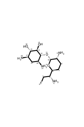 N[C@@H]1CC[C@@H]([C@H](N)CF)O[C@@H]1O[C@H]1[C@H](O)[C@@H](O)[C@H](N)C[C@@H]1N